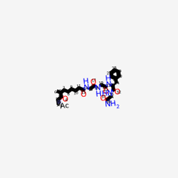 CC(=O)/C=C\C(=O)C(C)CCCCCC(=O)NCC(=O)NCC(=O)N[C@@H](Cc1ccccc1)C(=O)NCC(N)=O